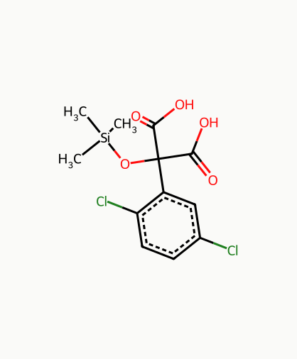 C[Si](C)(C)OC(C(=O)O)(C(=O)O)c1cc(Cl)ccc1Cl